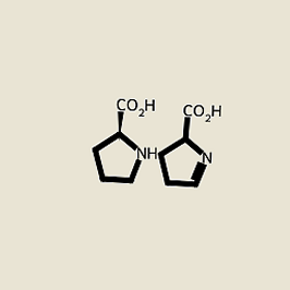 O=C(O)C1CCC=N1.O=C(O)[C@@H]1CCCN1